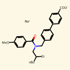 CCCCC(CC)CN(Cc1ccc(-c2ccc(C(=O)[O-])cc2)cc1)C(=O)c1ccc(OC)cc1.[Na+]